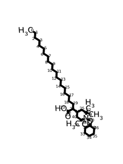 CCCCCCCCCCCCCCCCCCCCC(C(=O)O)C1CC(C)(C)N(OC2CCCCC2)C(C)(C)C1